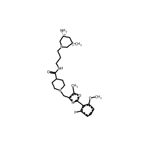 COc1cccc(F)c1-c1nc(CN2CCC(C(=O)NCCCN3C[C@@H](C)C[C@@H](N)C3)CC2)c(C)o1